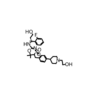 CC1(C)OC(N[C@@H](CCO)c2ccccc2F)=NS(=O)(=O)C1Cc1ccc(C2CCN(CCO)CC2)cc1